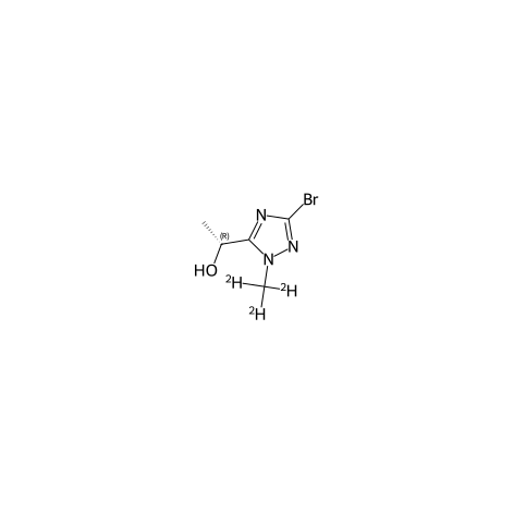 [2H]C([2H])([2H])n1nc(Br)nc1[C@@H](C)O